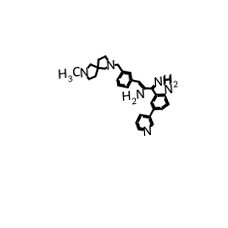 CN1CCC2(CCN(Cc3cccc(/C=C(\N)C(=N)c4cc(-c5cccnc5)ccc4N)c3)C2)C1